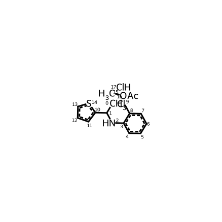 CC(Nc1ccccc1Cl)c1cccs1.COC(C)=O.Cl